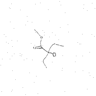 CCC(Cl)(CC)C(=O)OC